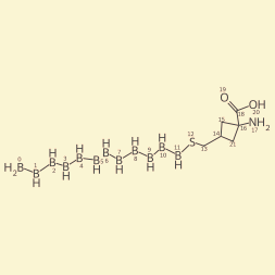 BBBBBBBBBBBBSCC1CC(N)(C(=O)O)C1